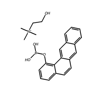 C[N+](C)(C)CCO.OB(O)Oc1cccc2ccc3cc4ccccc4cc3c12